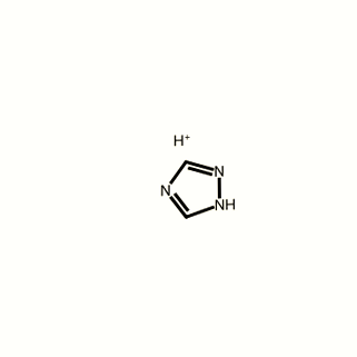 [H+].c1nc[nH]n1